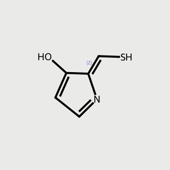 OC1=CC=N/C1=C\S